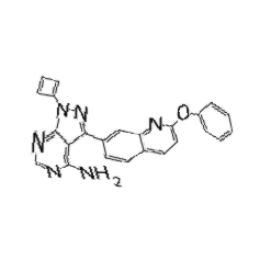 Nc1ncnc2c1c(-c1ccc3ccc(Oc4ccccc4)nc3c1)nn2C1=CC=C1